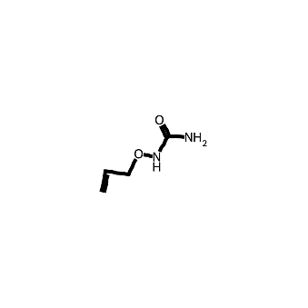 C=CCONC(N)=O